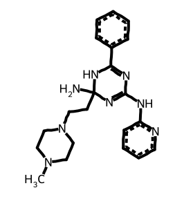 CN1CCN(CCC2(N)N=C(Nc3ccccn3)N=C(c3ccccc3)N2)CC1